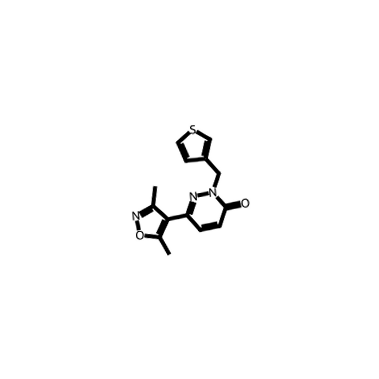 Cc1noc(C)c1-c1ccc(=O)n(Cc2ccsc2)n1